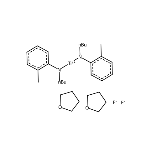 C1CCOC1.C1CCOC1.CCCC[N]([Ti+2][N](CCCC)c1ccccc1C)c1ccccc1C.[F-].[F-]